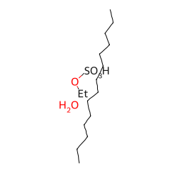 CCCCCCCCCCCCCC.CCOS(=O)(=O)O.O